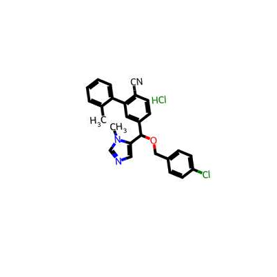 Cc1ccccc1-c1cc(C(OCc2ccc(Cl)cc2)c2cncn2C)ccc1C#N.Cl